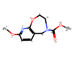 CC(C)Oc1ccc2c(n1)OCCN(C(=O)OC(C)(C)C)C2